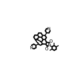 Cc1ccc(C)c(-n2c(=O)c3c4cc(-c5ccncc5)c5ccc6ccc7c(-c8ccncc8)cc(c3c2=O)c2c7c6c5c42)c1C